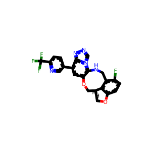 Fc1ccc2c3c1CNc1c(cc(-c4ccc(C(F)(F)F)nc4)c4nncn14)OC[C@H]3CO2